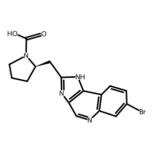 O=C(O)N1CCC[C@@H]1Cc1nc2cnc3cc(Br)ccc3c2[nH]1